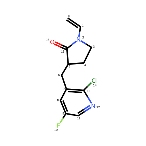 C=CN1CCC(Cc2cc(F)cnc2Cl)C1=O